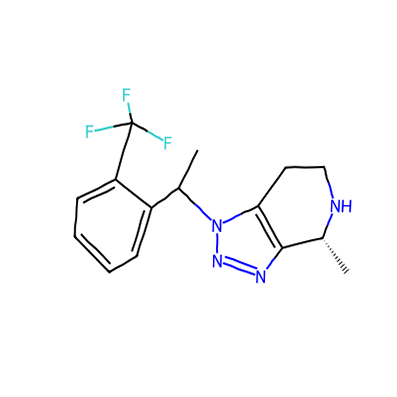 CC(c1ccccc1C(F)(F)F)n1nnc2c1CCN[C@@H]2C